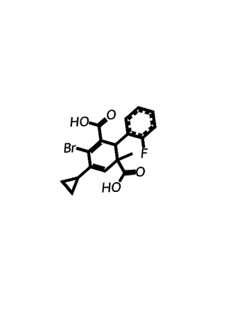 CC1(C(=O)O)C=C(C2CC2)C(Br)=C(C(=O)O)C1c1ccccc1F